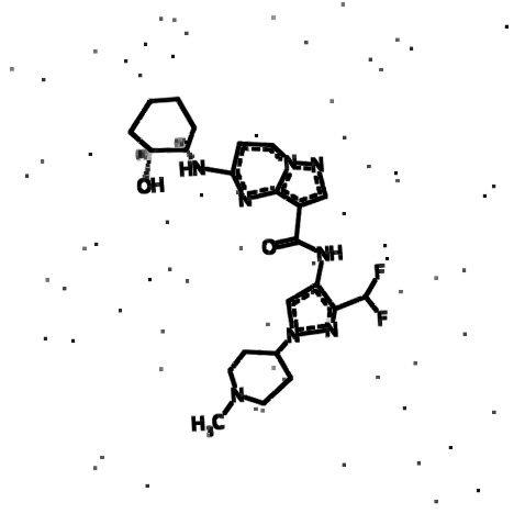 CN1CCC(n2cc(NC(=O)c3cnn4ccc(N[C@H]5CCCC[C@H]5O)nc34)c(C(F)F)n2)CC1